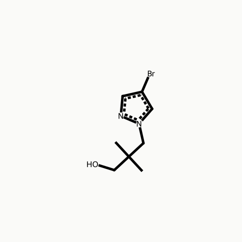 CC(C)(CO)Cn1cc(Br)cn1